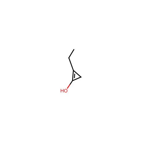 CCC1=C(O)C1